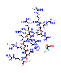 N=C(N)NCCC[C@H](NC(=O)[C@H](CCCNC(=N)N)NC(=O)[C@H](CCCNC(=N)N)NC(=O)[C@H](CCCNC(=N)N)NC(=O)[C@H](CCCNC(=N)N)NC(=O)[C@H](CCCNC(=N)N)NC(=O)[C@H](CCCNC(=N)N)NC(=O)[C@H](CCCNC(=N)N)NC(=O)[C@@H](N)CCCNC(=N)N)C(=O)O.O=C(O)C(F)(F)F